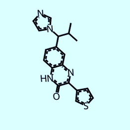 CC(C)C(c1ccc2[nH]c(=O)c(-c3ccsc3)nc2c1)n1ccnc1